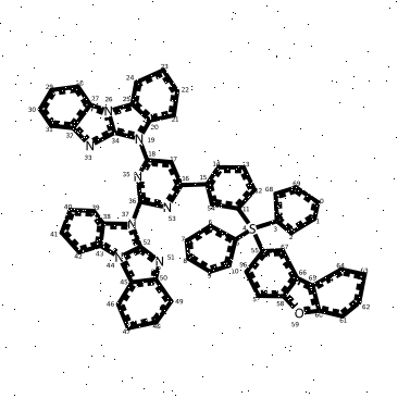 c1ccc(S(c2ccccc2)(c2cccc(-c3cc(-n4c5ccccc5n5c6ccccc6nc45)nc(-n4c5ccccc5n5c6ccccc6nc45)n3)c2)c2ccc3oc4ccccc4c3c2)cc1